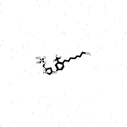 CCCCCCCCc1ccc(O[C@H]2CN[C@@H](COP(=O)(O)O)C2)cc1C(F)(F)F